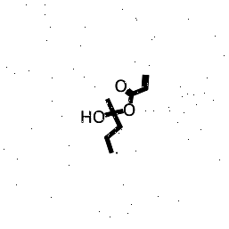 [CH2]CCC(C)(O)OC(=O)C=C